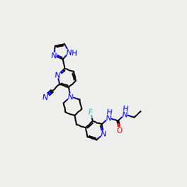 CCNC(=O)Nc1nccc(CC2CCN(c3ccc(-c4ncc[nH]4)nc3C#N)CC2)c1F